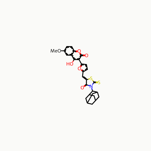 COc1ccc2oc(=O)c(-c3ccc(/C=C4\SC(=S)N(C5C6CC7CC(C6)CC5C7)C4=O)o3)c(O)c2c1